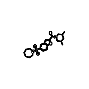 CC1CC(C)CN(C(=O)c2cc3cc(S(=O)(=O)N4CCCCCC4)ccc3o2)C1